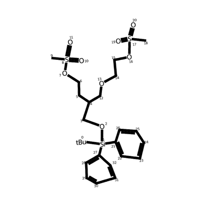 CC(C)(C)[Si](OCC(CCOS(C)(=O)=O)COCCOS(C)(=O)=O)(c1ccccc1)c1ccccc1